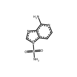 Nc1nccc2c1ncn2S(N)(=O)=O